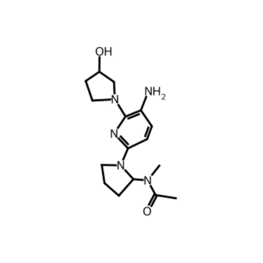 CC(=O)N(C)C1CCCN1c1ccc(N)c(N2CCC(O)C2)n1